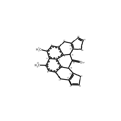 Cc1cc2c3c4c5c(cc(C)c14)CC1=C(CC=C1)C5C(=O)C3C1=C(C=CC1)C2